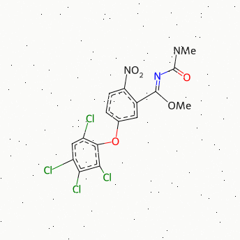 CNC(=O)N=C(OC)c1cc(Oc2c(Cl)cc(Cl)c(Cl)c2Cl)ccc1[N+](=O)[O-]